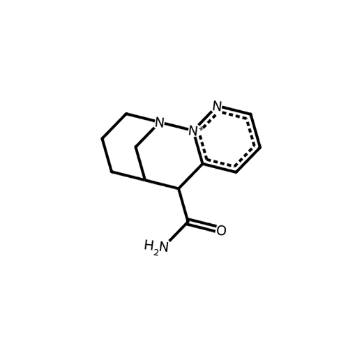 NC(=O)C1c2cccn[n+]2N2CCCC1C2